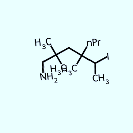 CCCC(C)(CC(C)(C)CN)C(C)I